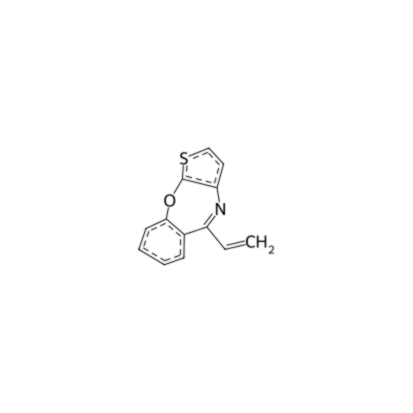 C=CC1=Nc2ccsc2Oc2ccccc21